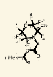 CCCCCCC(C)OC(=O)CN1C(F)(F)C(F)(F)OC(F)(F)C1(F)F